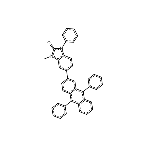 Cn1c(=O)n(-c2ccccc2)c2ccc(-c3ccc4c(-c5ccccc5)c5ccccc5c(-c5ccccc5)c4c3)cc21